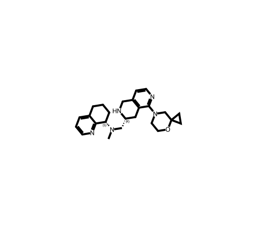 CN(C[C@H]1Cc2c(ccnc2N2CCOC3(CC3)C2)CN1)[C@H]1CCCc2cccnc21